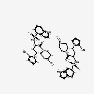 N#Cc1cccn1CCC(NS(=O)(=O)c1ccc2cc[nH]c2c1)C(=O)N1CCC(C(F)(F)F)CC1.N#Cc1cccn1CCC(NS(=O)(=O)c1cccc2[nH]ccc12)C(=O)N1CCC(C(F)(F)F)CC1